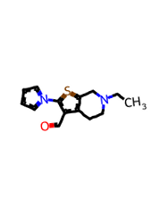 CCN1CCc2c(sc(-n3cccc3)c2C=O)C1